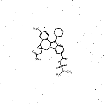 COC(=O)CC12CC1c1cc(OC)ccc1-c1c(C3CCCCC3)c3ccc(C(=O)NS(=O)(=O)N(C)C)cc3n1C2